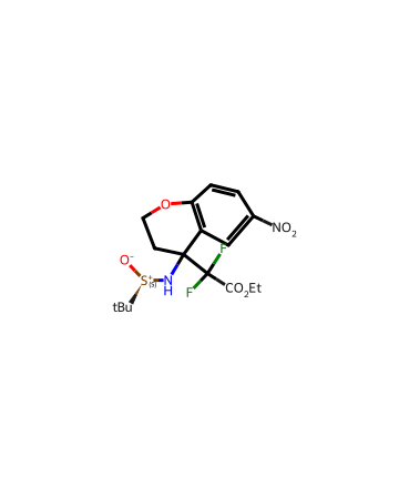 CCOC(=O)C(F)(F)C1(N[S@+]([O-])C(C)(C)C)CCOc2ccc([N+](=O)[O-])cc21